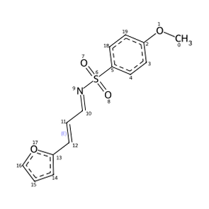 COc1ccc(S(=O)(=O)N=C/C=C/c2ccco2)cc1